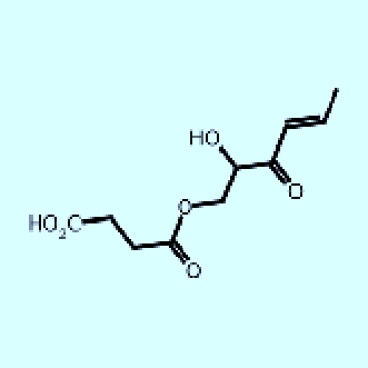 CC=CC(=O)C(O)COC(=O)CCC(=O)O